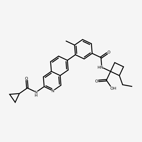 CCC1CCC1(NC(=O)c1ccc(C)c(-c2ccc3cc(NC(=O)C4CC4)ncc3c2)c1)C(=O)O